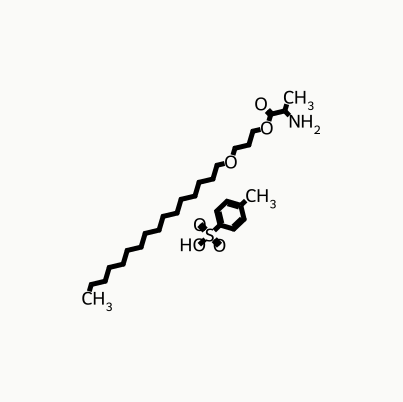 CCCCCCCCCCCCCCCCOCCCOC(=O)C(C)N.Cc1ccc(S(=O)(=O)O)cc1